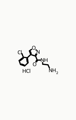 Cl.NCCNC(=O)c1nocc1-c1ccccc1Cl